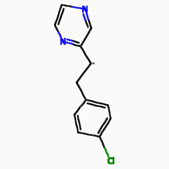 Clc1ccc(C[CH]c2cnccn2)cc1